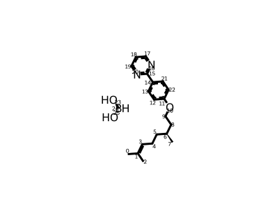 CC(C)=CCC[C@H](C)CCOc1ccc(-c2ncccn2)cc1.OBO